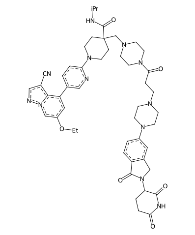 CCOc1cc(-c2ccc(N3CCC(CN4CCN(C(=O)CCN5CCN(c6ccc7c(c6)CN(C6CCC(=O)NC6=O)C7=O)CC5)CC4)(C(=O)NC(C)C)CC3)nc2)c2c(C#N)cnn2c1